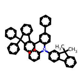 CC1(C)c2ccccc2-c2ccc(N(c3ccccc3)c3ccc(-c4ccccc4)cc3-c3cccc4c3-c3ccccc3C4(c3ccccc3)c3ccccc3)cc21